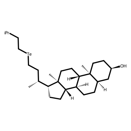 CC(C)CC[Te]CC[C@@H](C)[C@H]1CC[C@H]2[C@@H]3CC[C@@H]4C[C@H](O)CC[C@]4(C)[C@H]3CC[C@]12C